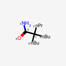 CCCCC(CCC)(CCCC)C(N)=O